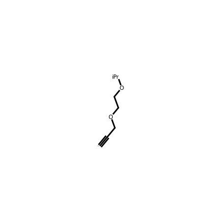 [C]#CCOCCOC(C)C